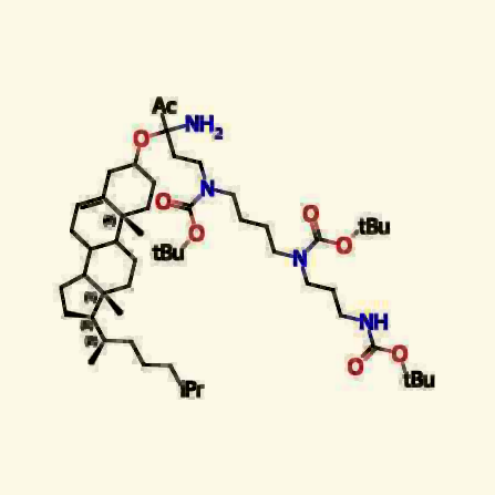 CC(=O)C(N)(CCN(CCCCN(CCCNC(=O)OC(C)(C)C)C(=O)OC(C)(C)C)C(=O)OC(C)(C)C)OC1CC[C@@]2(C)C(=CCC3C2CC[C@@]2(C)C3CC[C@@H]2[C@H](C)CCCC(C)C)C1